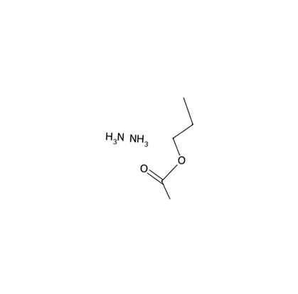 CCCOC(C)=O.N.N